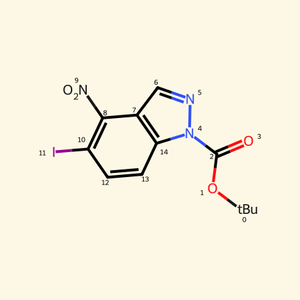 CC(C)(C)OC(=O)n1ncc2c([N+](=O)[O-])c(I)ccc21